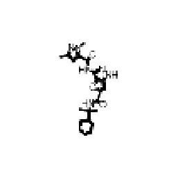 Cc1cc(C(=O)Nc2n[nH]c3cc(C(=O)NC(C)(C)c4ccccc4)oc23)n(C)n1